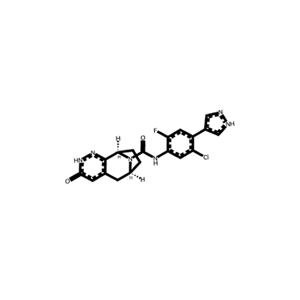 O=C(Nc1cc(Cl)c(-c2cn[nH]c2)cc1F)N1[C@H]2CC[C@@H]1c1n[nH]c(=O)cc1C2